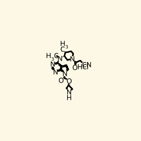 C[C@@H]1CCN(C(=O)CC#N)C[C@@H]1N(C)c1ncnc2c1ccn2C(=O)OC1CNC1.Cl